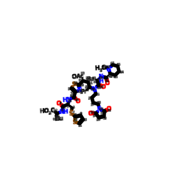 CCC(C)C(NC(=O)[C@H](CSc1cccs1)NC(=O)c1csc([C@@H](C[C@H](C(C)C)N(CCCCN2C(=O)C=CC2=O)C(=O)[C@@H](NC(=O)[C@H]2CCCCN2C)[C@@H](C)CC)OC(C)=O)n1)C(=O)O